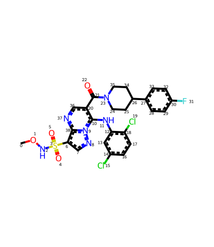 CONS(=O)(=O)c1cnn2c(Nc3cc(Cl)ccc3Cl)c(C(=O)N3CCC(c4ccc(F)cc4)CC3)cnc12